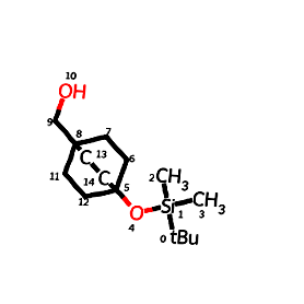 CC(C)(C)[Si](C)(C)OC12CCC(CO)(CC1)CC2